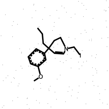 CCCC1(c2cccc(OC)c2)C=CN(CI)CC1